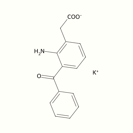 Nc1c(CC(=O)[O-])cccc1C(=O)c1ccccc1.[K+]